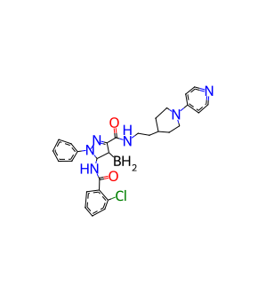 BC1C(C(=O)NCCC2CCN(c3ccncc3)CC2)=NN(c2ccccc2)C1NC(=O)c1ccccc1Cl